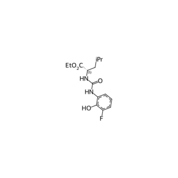 CCOC(=O)[C@H](CC(C)C)NC(=O)Nc1cccc(F)c1O